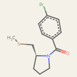 CSC[C@@H]1CCCN1C(=O)c1ccc(Br)cc1